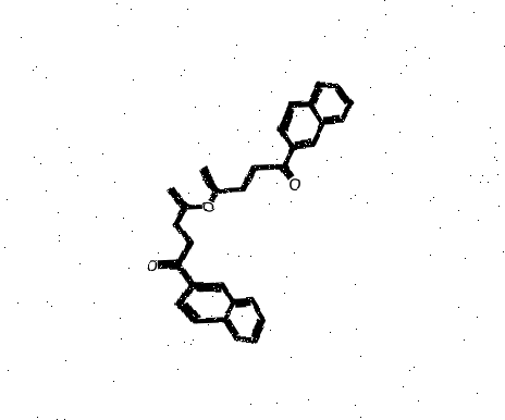 C=C(CCC(=O)c1ccc2ccccc2c1)OC(=C)CCC(=O)c1ccc2ccccc2c1